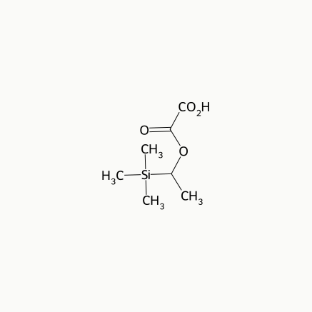 CC(OC(=O)C(=O)O)[Si](C)(C)C